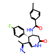 C/N=C(/C)C1=CNC(=O)C[C@@H](NC(=O)c2ccc(C)cc2)[C@H]1c1ccc(F)cc1